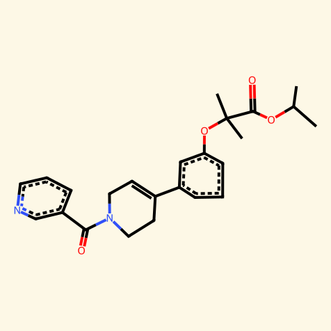 CC(C)OC(=O)C(C)(C)Oc1cccc(C2=CCN(C(=O)c3cccnc3)CC2)c1